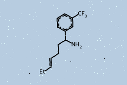 CCC=CCCC(N)c1cccc(C(F)(F)F)c1